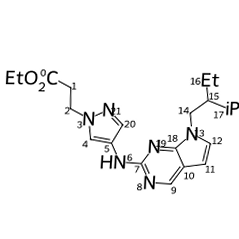 CCOC(=O)CCn1cc(Nc2ncc3ccn(CC(CC)C(C)C)c3n2)cn1